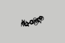 Cc1cc2ncnn2cc1C1CCN(S(=O)(=O)c2cnc3c(c2)CCO3)CC1